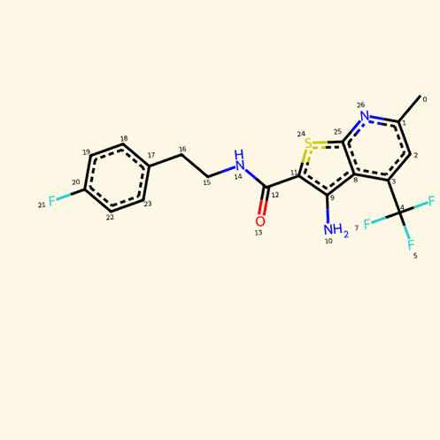 Cc1cc(C(F)(F)F)c2c(N)c(C(=O)NCCc3ccc(F)cc3)sc2n1